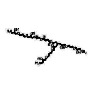 NCC(O)COCCCOCC(O)CNCCOC(=O)CCC(=O)OCCN(CC(O)COCCCOCC(O)CN)CC(O)COCCCOCC(O)CN